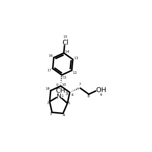 CN1C2CCC1[C@@H](CCO)[C@@H](c1ccc(Cl)cc1)C2